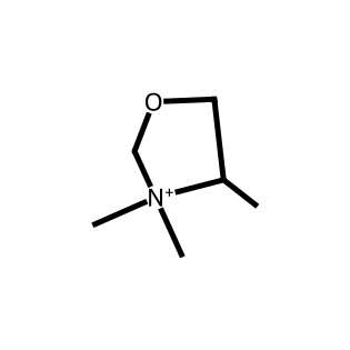 CC1COC[N+]1(C)C